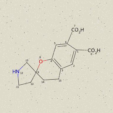 O=C(O)c1cc2c(cc1C(=O)O)OC1(CCNC1)CC2